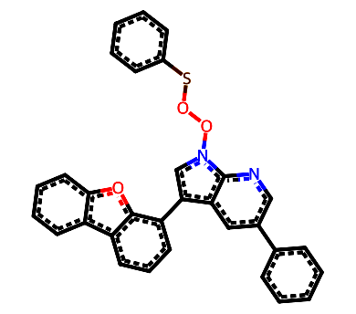 c1ccc(SOOn2cc(-c3cccc4c3oc3ccccc34)c3cc(-c4ccccc4)cnc32)cc1